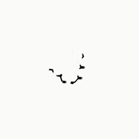 CCOC(=O)C=C=CC(=O)OC(=O)OCC